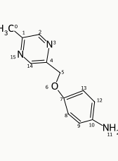 Cc1cnc(COc2ccc(N)cc2)cn1